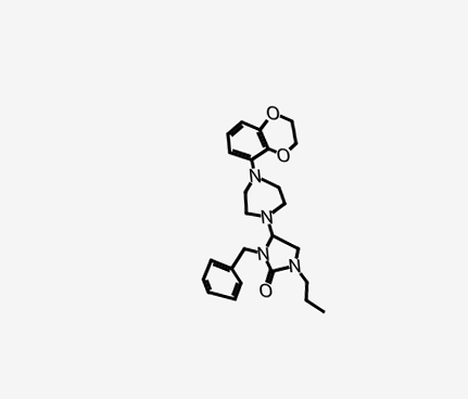 CCCN1CC(N2CCN(c3cccc4c3OCCO4)CC2)N(Cc2ccccc2)C1=O